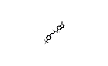 O=C(/C=C/c1ccc(C(F)(F)F)cc1)Nc1ccc2[nH]ccc2c1